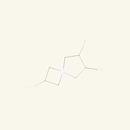 CCC1C[N+]2(CC(O)C2)CC1CC